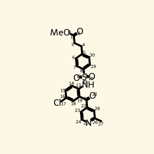 COC(=O)CCc1ccc(S(=O)(=O)Nc2ccc(Cl)cc2C(=O)c2ccnc(C)c2)cc1